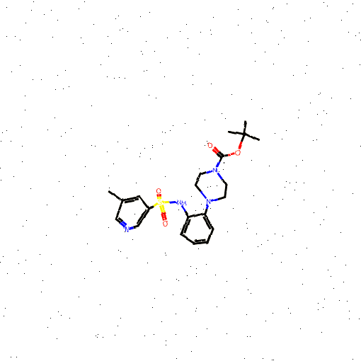 Cc1cncc(S(=O)(=O)Nc2ccccc2N2CCN(C(=O)OC(C)(C)C)CC2)c1